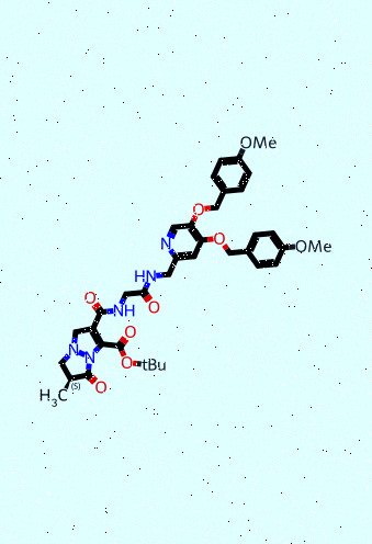 COc1ccc(COc2cnc(CNC(=O)CNC(=O)C3=C(C(=O)OC(C)(C)C)N4C(=O)[C@@H](C)CN4C3)cc2OCc2ccc(OC)cc2)cc1